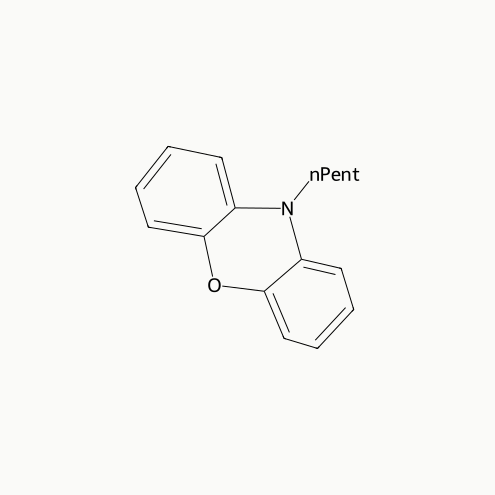 CCCCCN1c2ccccc2Oc2ccccc21